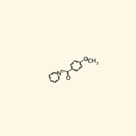 COc1ccc(C(=O)C[n+]2ccccc2)cc1